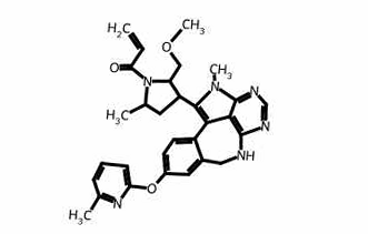 C=CC(=O)N1C(C)CC(c2c3c4c(ncnc4n2C)NCc2cc(Oc4cccc(C)n4)ccc2-3)C1COC